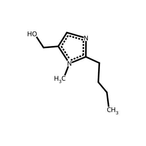 CCCCc1ncc(CO)n1C